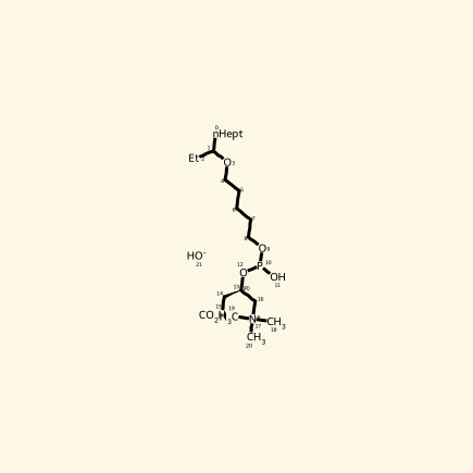 CCCCCCCC(CC)OCCCCCOP(O)O[C@H](CC(=O)O)C[N+](C)(C)C.[OH-]